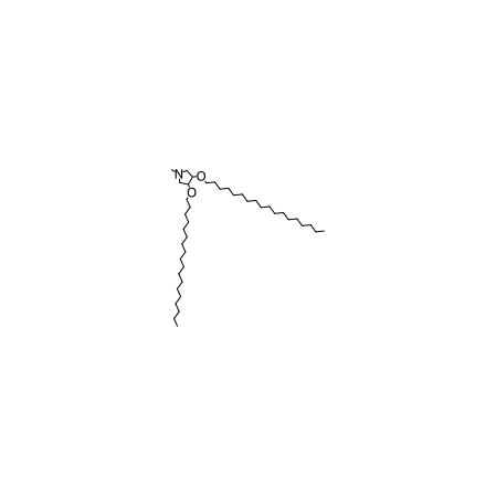 CCCCCCCCCCCCCCCCCCOC1CN(C)CC1OCCCCCCCCCCCCCCCCCC